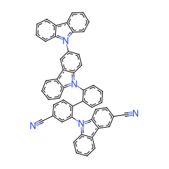 N#Cc1ccc(-c2ccccc2-n2c3ccccc3c3cc(-n4c5ccccc5c5ccccc54)ccc32)c(-n2c3ccccc3c3cc(C#N)ccc32)c1